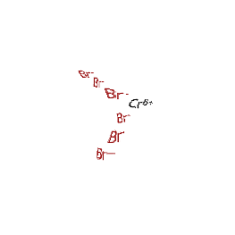 [Br-].[Br-].[Br-].[Br-].[Br-].[Br-].[Cr+6]